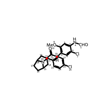 COc1cc(NC=O)c(Cl)cc1NC(=O)C1CC2CCC(C1)N2Cc1ccc(Cl)cc1